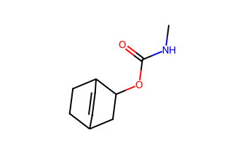 CNC(=O)OC1CC2C=CC1CC2